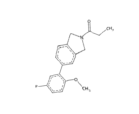 CCC(=O)N1Cc2ccc(-c3cc(F)ccc3OC)cc2C1